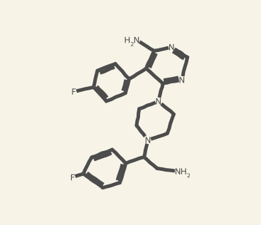 NCC(c1ccc(F)cc1)N1CCN(c2ncnc(N)c2-c2ccc(F)cc2)CC1